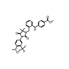 COC(=O)c1ccc(Nc2ccccc2CN2C(=O)N(c3ccc([S+](C)[O-])c(C(F)(F)F)c3)C(=O)C2(C)C)cc1